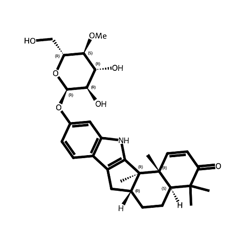 CO[C@H]1[C@H](O)[C@@H](O)[C@@H](Oc2ccc3c4c([nH]c3c2)[C@]2(C)[C@H](CC[C@@H]3C(C)(C)C(=O)C=C[C@]32C)C4)O[C@@H]1CO